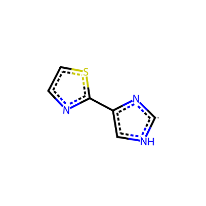 [c]1nc(-c2nccs2)c[nH]1